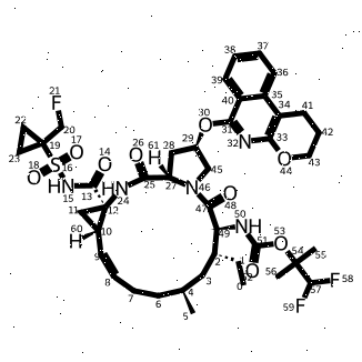 CC[C@@H]1C[C@@H](C)CC/C=C\[C@@H]2C[C@@]2(C(=O)NS(=O)(=O)C2(CF)CC2)NC(=O)[C@@H]2C[C@@H](Oc3nc4c(c5ccccc35)CCCO4)CN2C(=O)[C@H]1NC(=O)OC(C)(C)C(F)F